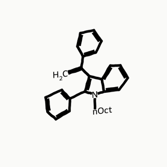 C=C(c1ccccc1)c1c(-c2ccccc2)n(CCCCCCCC)c2ccccc12